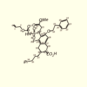 C=CCOC(=O)NS(=O)(=O)N(CC(=O)OC)c1c(OCCc2ccccc2)cc2c(c1F)C[C@H](CCCC(C)C)N(C(=O)O)C2